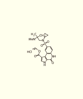 CCCOC(=O)c1c[nH]c2c(=O)[nH]c3ccc(S(=O)(=O)N(CC(C)(C)NC)C4CC4)cc3c12.Cl